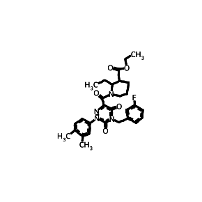 CCOC(=O)C1CCCN(C(=O)c2nn(-c3ccc(C)c(C)c3)c(=O)n(Cc3cccc(F)c3)c2=O)C1CC